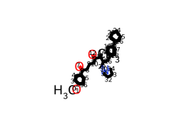 COc1ccc(C(=O)CCCC(=O)C(C)C(Cc2ccc(-c3ccccc3)cc2)CN2CCCC2)cc1